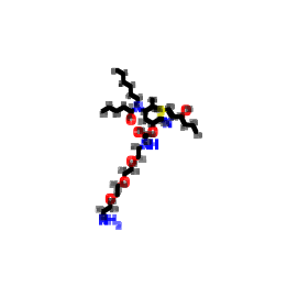 CCCCCCN(C(=O)CCCC)C(CC(OC(=O)NCCOCCOCCOCCN)c1nc(C(=O)CCC)cs1)C(C)C